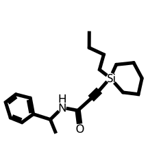 CCCC[Si]1(C#CC(=O)NC(C)c2ccccc2)CCCCC1